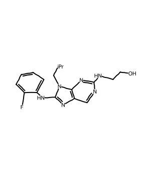 CC(C)Cn1c(Nc2ccccc2F)nc2cnc(NCCO)nc21